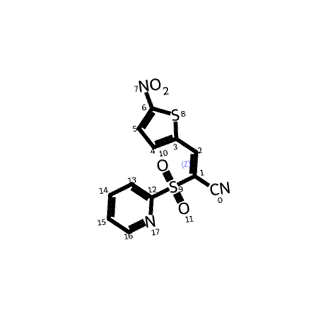 N#C/C(=C/c1ccc([N+](=O)[O-])s1)S(=O)(=O)c1ccccn1